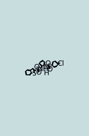 O=S(=O)(Nc1ccccc1NS(=O)(=O)c1cc2ccccc2s1)c1ccc(Cl)cc1